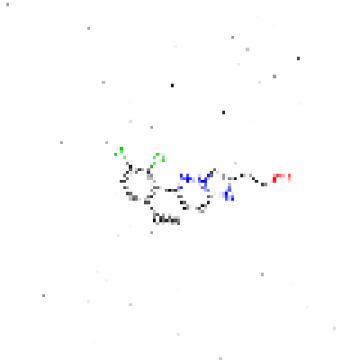 COc1ccc(Cl)c(Cl)c1-c1ccc2nc(CCO)cn2n1